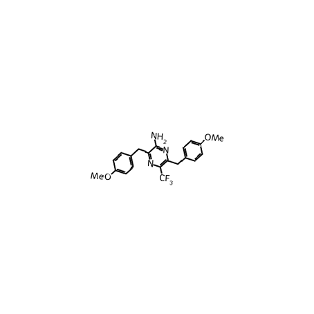 COc1ccc(Cc2nc(C(F)(F)F)c(Cc3ccc(OC)cc3)nc2N)cc1